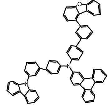 c1cc(-c2ccc(N(c3ccc(-c4cccc(-n5c6ccccc6c6ccccc65)c4)cc3)c3ccc4c5ccccc5c5ccccc5c4c3)cc2)cc(-c2cccc3oc4ccccc4c23)c1